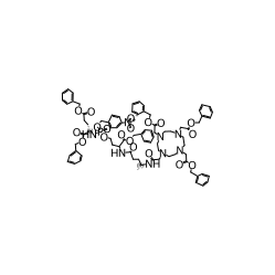 C[C@H](CCC(=O)NC(CCOP(=O)(N[C@@H](CCC(=O)OCc1ccccc1)C(=O)OCc1ccccc1)OCc1ccc([N+](=O)[O-])cc1)C(=O)OCc1ccccc1)NC(=O)CN1CCN(CC(=O)OCc2ccccc2)CCN(CC(=O)OCc2ccccc2)CCN(CC(=O)OCc2ccccc2)CC1